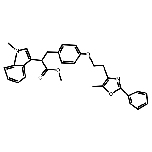 COC(=O)C(Cc1ccc(OCCc2nc(-c3ccccc3)oc2C)cc1)c1cn(C)c2ccccc12